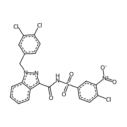 O=C(NS(=O)(=O)c1ccc(Cl)c([N+](=O)[O-])c1)c1nn(Cc2ccc(Cl)c(Cl)c2)c2ccccc12